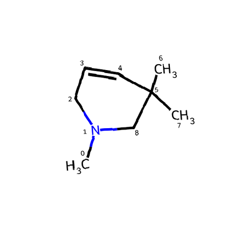 CN1CC=CC(C)(C)C1